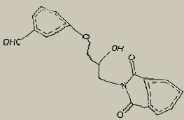 O=Cc1cccc(OCC(O)CN2C(=O)c3ccccc3C2=O)c1